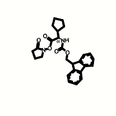 O=C(N[C@H](C(=O)ON1CCCC1=O)C1CCCC1)OCC1c2ccccc2-c2ccccc21